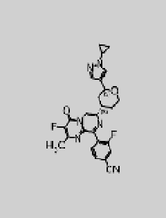 Cc1nc2c(-c3ccc(C#N)cc3F)nc([C@H]3CCO[C@H](c4cnn(C5CC5)c4)C3)cn2c(=O)c1F